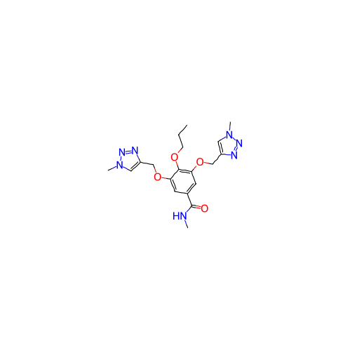 CCCOc1c(OCc2cn(C)nn2)cc(C(=O)NC)cc1OCc1cn(C)nn1